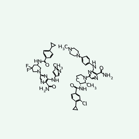 C[C@@H]1[C@H](NC(=O)c2ccc(C3CC3)c(Cl)c2)CCCN1c1cnc(C(N)=O)c(Nc2ccc(N3CCN(C)CC3)cc2)n1.Cn1cc(Nc2nc(N3CC(NC(=O)c4ccc(C5CC5)cc4)CC(F)(F)C3)cnc2C(N)=O)cn1